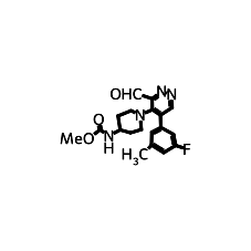 COC(=O)NC1CCN(c2c(-c3cc(C)cc(F)c3)cnnc2C=O)CC1